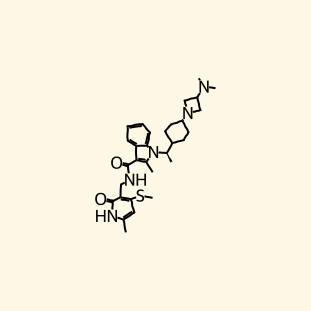 CSc1cc(C)[nH]c(=O)c1CNC(=O)c1c(C)n([C@H](C)C2CCC(N3CC(N(C)C)C3)CC2)c2ccccc12